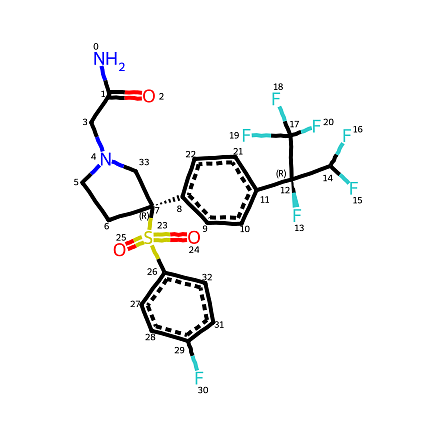 NC(=O)CN1CC[C@](c2ccc([C@@](F)(C(F)F)C(F)(F)F)cc2)(S(=O)(=O)c2ccc(F)cc2)C1